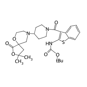 CC(C)(C)OC(=O)Nc1sc2ccccc2c1C(=O)N1CCC(N2CCOC3(C2)CC(C)(C)OC3=O)CC1